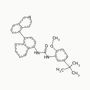 COc1ccc(C(C)(C)C)cc1NC(=O)Nc1ccc(-c2cccc3cnccc23)c2ccccc12